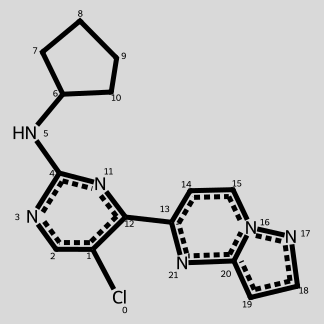 Clc1cnc(NC2CCCC2)nc1-c1ccn2nccc2n1